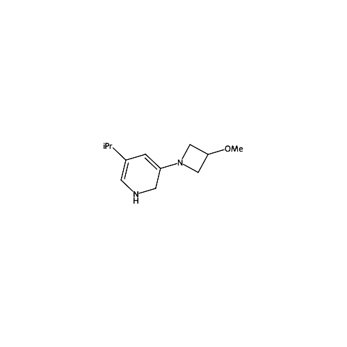 COC1CN(C2=CC(C(C)C)=CNC2)C1